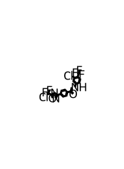 O=C(CNc1ccc(C(F)(F)F)c(Cl)c1)c1ccc(-c2noc(C(F)(F)Cl)n2)cc1